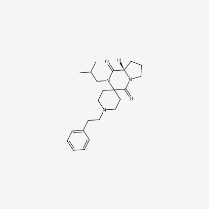 CC(C)CN1C(=O)[C@@H]2CCCN2C(=O)C12CCN(CCc1ccccc1)CC2